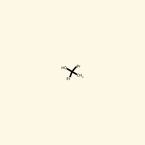 CCC(C)(O)C(C)C